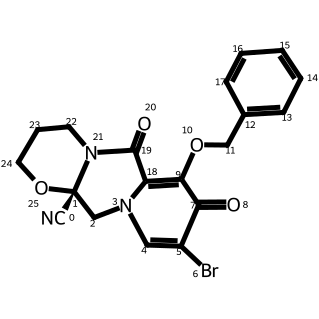 N#C[C@]12Cn3cc(Br)c(=O)c(OCc4ccccc4)c3C(=O)N1CCCO2